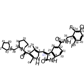 Cc1[nH]c(/C=C2\C(=O)Nc3ccc(C(=O)NCc4c(F)ccc(Cl)c4F)cc32)c(C)c1C(=O)N1CCC[C@@H]1CN1CCCC1